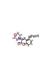 CCCCCc1cccc2oc(=O)c(N3CCOCC3)cc12